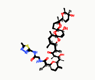 CC[C@@H](C(=O)[C@@H](C)[C@@H](O)[C@H](C)[C@@H]1O[C@@H]([C@@H](CC)C(=O)NCC(=O)Nc2nnc(C)s2)CCC1C)[C@H]1O[C@]2(C=C[C@@H](O)[C@]3(CC[C@@](C)([C@H]4CC[C@](O)(CC)[C@H](C)O4)O3)O2)[C@H](C)C[C@@H]1C